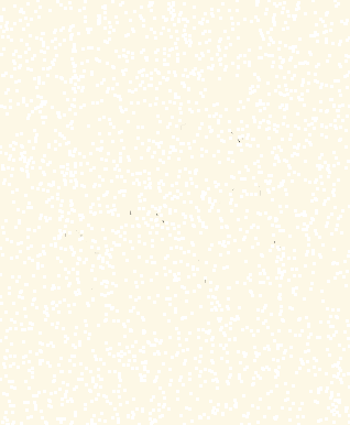 NC(=O)c1nn(-c2cc(F)c(N)c(F)c2)c2c1CCc1ccc(N)cc1-2